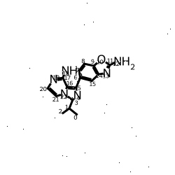 CC(C)c1nc(-c2ccc3oc(N)nc3c2)c2c(N)nccn12